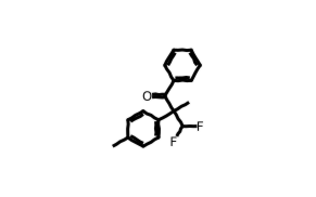 Cc1ccc(C(C)(C(=O)c2ccccc2)C(F)F)cc1